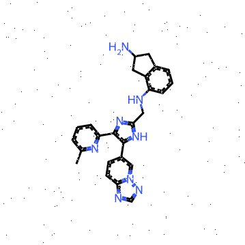 Cc1cccc(-c2nc(CNc3cccc4c3CC(N)C4)[nH]c2-c2ccc3ncnn3c2)n1